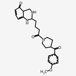 COc1ccc(C(=O)C2CCN(C(=O)CCCC3NCC4C(=O)C=CC=C4N3)CC2)cc1